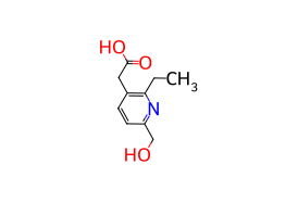 CCc1nc(CO)ccc1CC(=O)O